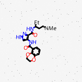 CCC(CCNC)NC(=O)c1n[nH]cc1NC(=O)c1cccc2c1OCCO2